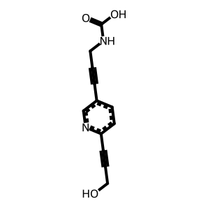 O=C(O)NCC#Cc1ccc(C#CCO)nc1